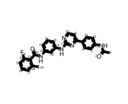 CC(=O)Nc1ccc(-c2ccnc(Nc3cccc(NC(=O)c4c(F)cccc4I)c3)n2)cc1